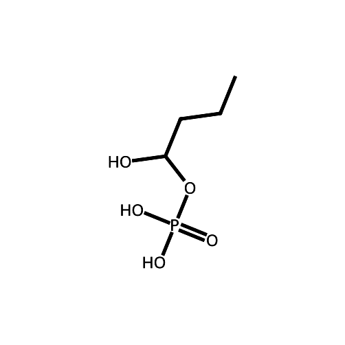 CCCC(O)OP(=O)(O)O